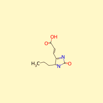 CCCC1=NC(=O)N=C1C=CC(=O)O